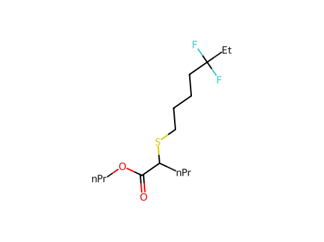 CCCOC(=O)C(CCC)SCCCCC(F)(F)CC